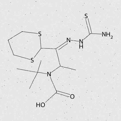 CC(C(=NNC(N)=S)C1SCCCS1)N(C(=O)O)C(C)(C)C